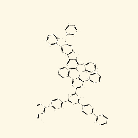 C=C/C=C(\C=C)c1ccc(-c2nc(-c3ccc(-c4ccccc4)cc3)nc(-c3cc(-c4ccccc4)c(-n4c5ccccc5c5c6oc7cc8c(cc7c6ccc54)c4ccccc4n8-c4ccccc4)c(-c4ccccc4)c3)n2)cc1